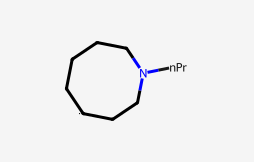 CCCN1CC[CH]CCCC1